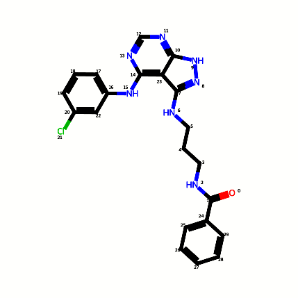 O=C(NCCCNc1n[nH]c2ncnc(Nc3cccc(Cl)c3)c12)c1ccccc1